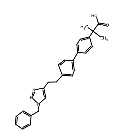 CC(C)(C(=O)O)c1ccc(-c2ccc(CCc3cn(Cc4ccccc4)nn3)cc2)cc1